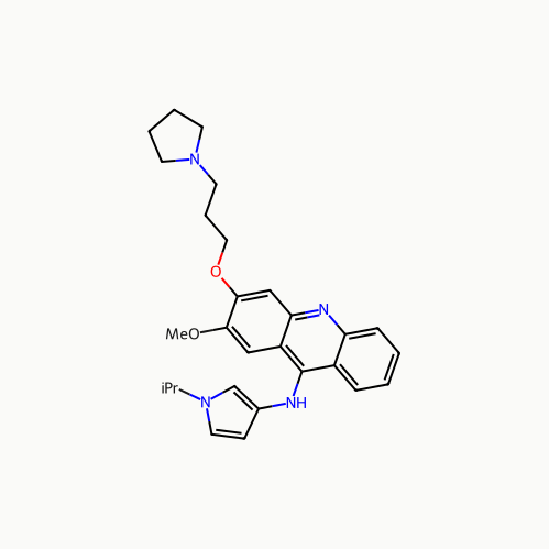 COc1cc2c(Nc3ccn(C(C)C)c3)c3ccccc3nc2cc1OCCCN1CCCC1